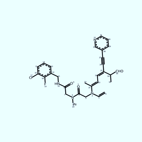 C=CN(CC(=O)N(CC(=O)NCc1cccc(Cl)c1F)C(C)C)/C(C)=C/C=C(/C#Cc1cccnc1)C(C)C=O